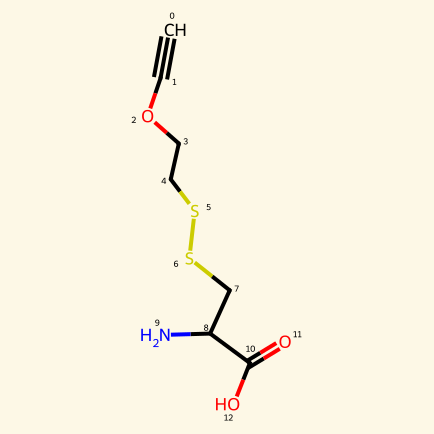 C#COCCSSCC(N)C(=O)O